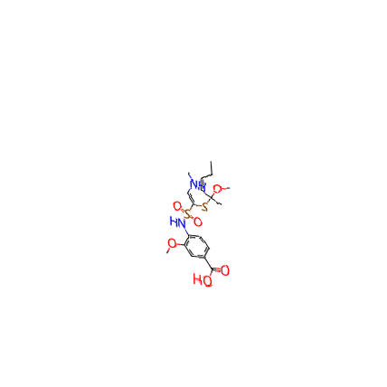 CC/C=C\C(C)(OC)S/C(=C\NC)S(=O)(=O)Nc1ccc(C(=O)O)cc1OC